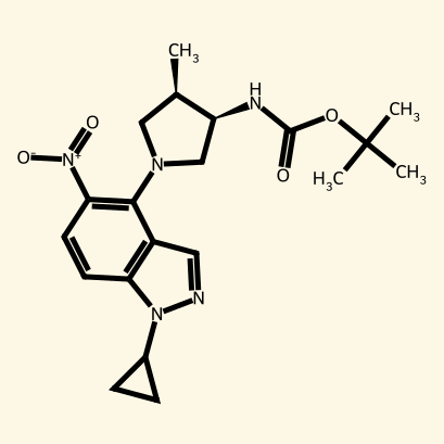 C[C@@H]1CN(c2c([N+](=O)[O-])ccc3c2cnn3C2CC2)C[C@@H]1NC(=O)OC(C)(C)C